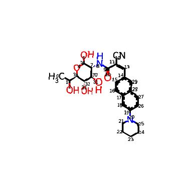 CC(O)[C@H]1OC(O)[C@H](NC(=O)/C(C#N)=C\c2ccc3cc(N4CCCCC4)ccc3c2)[C@@H](O)[C@@H]1O